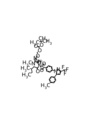 CC[C@@H](C)[C@@H](C(=O)NS(=O)(=O)c1ccc(-n2nc(C(F)(F)F)cc2-c2ccc(C)cc2)cc1)N(C)[N+]([O-])=NOCOC(=O)OC(C)(C)C